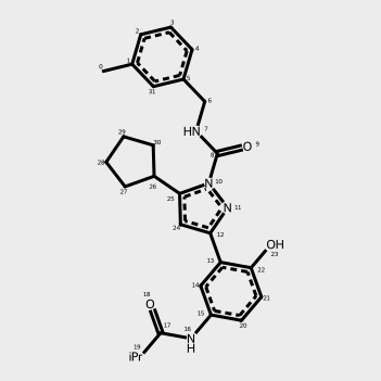 Cc1cccc(CNC(=O)n2nc(-c3cc(NC(=O)C(C)C)ccc3O)cc2C2CCCC2)c1